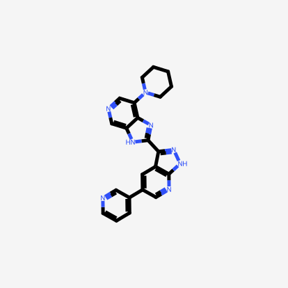 c1cncc(-c2cnc3[nH]nc(-c4nc5c(N6CCCCC6)cncc5[nH]4)c3c2)c1